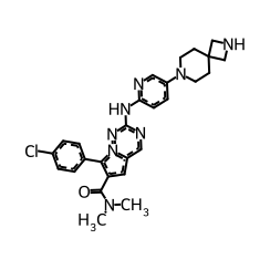 CN(C)C(=O)c1cc2cnc(Nc3ccc(N4CCC5(CC4)CNC5)cn3)nn2c1-c1ccc(Cl)cc1